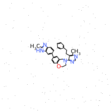 Cc1nc2ccc(-c3ccc4c(c3)CN(c3ncnc(C)c3CCc3ccccc3)CCO4)cc2[nH]1